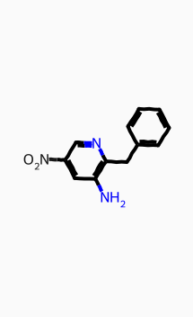 Nc1cc([N+](=O)[O-])cnc1Cc1ccccc1